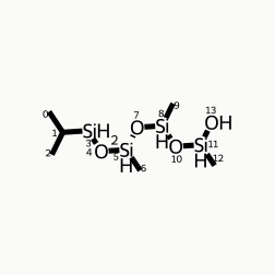 CC(C)[SiH2]O[SiH](C)O[SiH](C)O[SiH](C)O